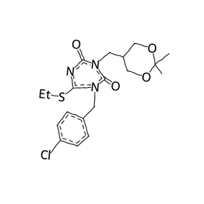 CCSc1nc(=O)n(CC2COC(C)(C)OC2)c(=O)n1Cc1ccc(Cl)cc1